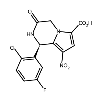 O=C1Cn2c(C(=O)O)cc([N+](=O)[O-])c2[C@@H](c2cc(F)ccc2Cl)N1